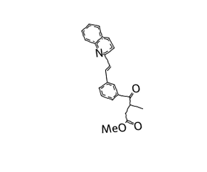 COC(=O)CC(C)C(=O)c1cccc(C=Cc2ccc3ccccc3n2)c1